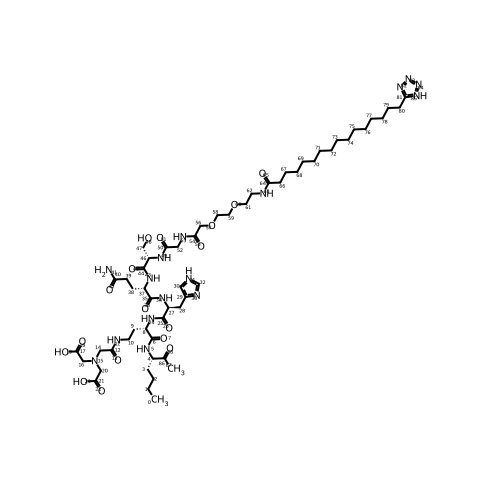 CCCC[C@H](NC(=O)[C@H](CCNC(=O)CN(CC(=O)O)CC(=O)O)NC(=O)[C@H](Cc1c[nH]cn1)NC(=O)[C@H](CCC(N)=O)NC(=O)[C@H](CO)NC(=O)CNC(=O)COCCOCCNC(=O)CCCCCCCCCCCCCCCc1nnn[nH]1)C(C)=O